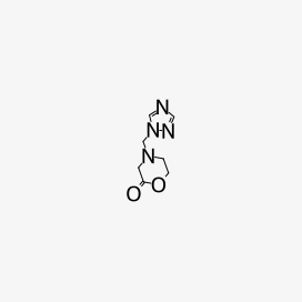 O=C1CN(Cn2cncn2)CCO1